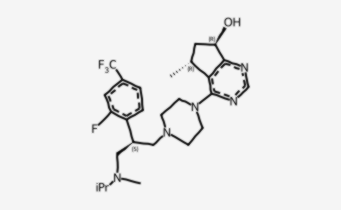 CC(C)N(C)C[C@H](CN1CCN(c2ncnc3c2[C@H](C)C[C@H]3O)CC1)c1ccc(C(F)(F)F)cc1F